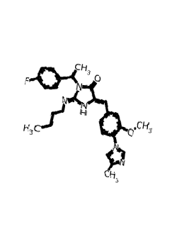 CCCC/N=C1\N/C(=C\c2ccc(-n3cnc(C)c3)c(OC)c2)C(=O)N1C(C)c1ccc(F)cc1